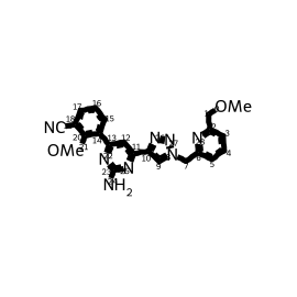 COCc1cccc(Cn2cc(-c3cc(-c4cccc(C#N)c4OC)nc(N)n3)nn2)n1